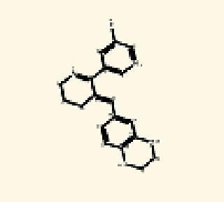 Fc1cncc(C2=NCCCC2=Cc2ccc3c(c2)OCCO3)c1